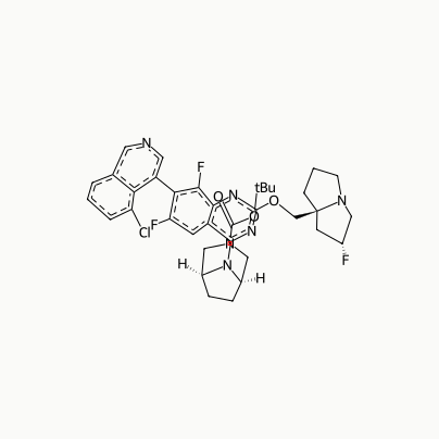 CC(C)(C)OC(=O)N1C[C@H]2CC[C@@H](C1)N2c1nc(OC[C@@]23CCCN2C[C@H](F)C3)nc2c(F)c(-c3cncc4cccc(Cl)c34)c(F)cc12